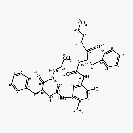 Cc1cc(C)c(NC(=O)N[C@@H](Cc2ccccc2)C(=O)ONCC(Cl)(Cl)Cl)cc1NC(=O)N[C@@H](Cc1ccccc1)C(=O)OCSC(Cl)(Cl)Cl